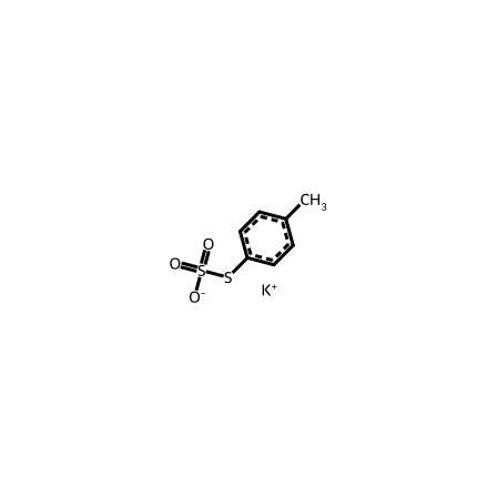 Cc1ccc(SS(=O)(=O)[O-])cc1.[K+]